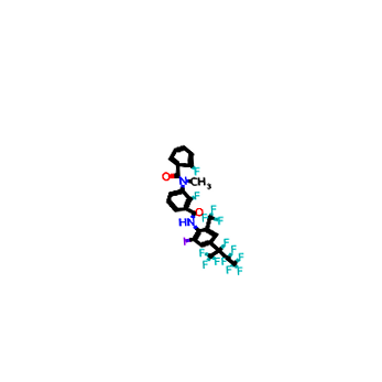 CN(C(=O)c1ccccc1F)c1cccc(C(=O)Nc2c(I)cc(C(F)(C(F)(F)F)C(F)(F)C(F)(F)F)cc2C(F)(F)F)c1F